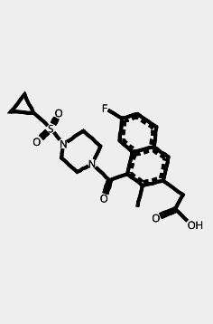 Cc1c(CC(=O)O)cc2ccc(F)cc2c1C(=O)N1CCN(S(=O)(=O)C2CC2)CC1